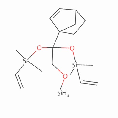 C=C[Si](C)(C)OC(CO[SiH3])(O[Si](C)(C)C=C)C12C=CC(CC1)C2